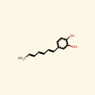 O=C(O)/C=C/C=C/C=C/c1ccc(O)c(O)c1